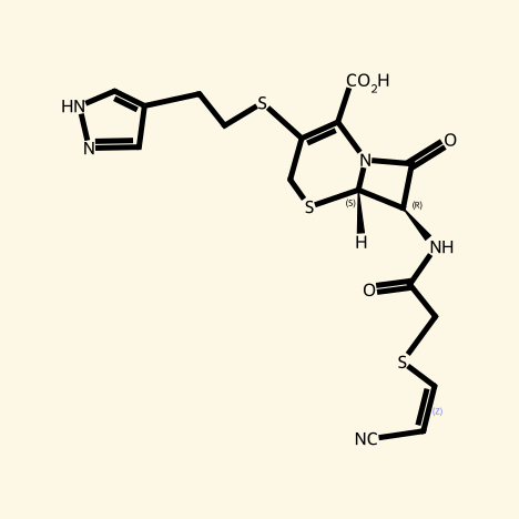 N#C/C=C\SCC(=O)N[C@@H]1C(=O)N2C(C(=O)O)=C(SCCc3cn[nH]c3)CS[C@@H]12